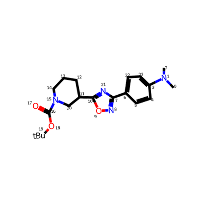 CN(C)c1ccc(-c2noc(C3CCCN(C(=O)OC(C)(C)C)C3)n2)cc1